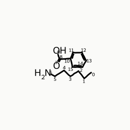 CCCCCCN.O=C(O)c1ccccc1